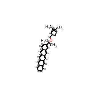 CC1C2CC(COC(C)(C)c3ccc4cc5cc6cc7ccccc7cc6cc5cc4c3)C(C2)C1C